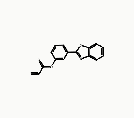 C=CC(=O)Oc1cccc(-c2nc3ccccc3s2)c1